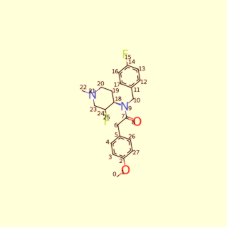 COc1ccc(CC(=O)N(Cc2ccc(F)cc2)[C@@H]2CCN(C)C[C@@H]2F)cc1